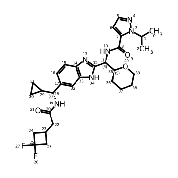 CC(C)n1nccc1C(=O)N[C@H](c1nc2ccc([C@H](NC(=O)CC3CC(F)(F)C3)C3CC3)cc2[nH]1)[C@@H]1CCCCO1